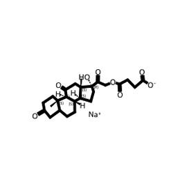 C[C@]12CCC(=O)CC1CC[C@@H]1[C@@H]2C(=O)C[C@@]2(C)[C@H]1CC[C@]2(O)C(=O)COC(=O)CCC(=O)[O-].[Na+]